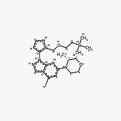 C[C@@H]1COCCN1c1cc(I)c2cnn(-c3ccnn3COCC[Si](C)(C)C)c2n1